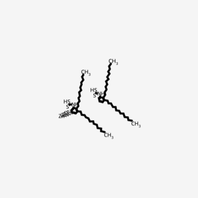 CCCCCCCCCCCCCCc1cccc(NC(=S)S)c1CCCCCCCCCCCCCC.CCCCCCCCCCCCCCc1cccc(NC(=S)S)c1CCCCCCCCCCCCCC.[S-2].[S-2].[Zn+2].[Zn+2].[Zn+2]